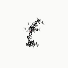 Cc1ncsc1-c1ccc([C@H](C)NC[C@@H]2C[C@@H](O)CN2C(=O)[C@@H](NC(=O)CN2CCC(c3cccc(OC[C@H](CCC(N)=O)NC(=O)OC(C)(C)C)c3Cl)CC2)C(C)(C)C)cc1